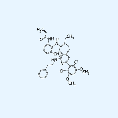 C=CC(=O)Nc1cccc(C)c1NC1=C(CC)CC=c2cc(-c3c(Cl)c(OC)cc(OC)c3Cl)nc(NCCc3ccccc3)c2=C1